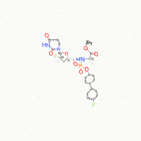 CC(C)OC(=O)[C@H](C)NP(=O)(OC[C@@H]1C[C@@](C)(F)[C@H](n2ccc(=O)[nH]c2=O)O1)Oc1ccc(-c2ccc(F)cc2)cc1